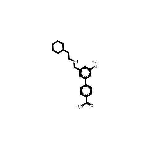 Cl.NC(=O)c1ccc(-c2cc(Cl)cc(CNCCC3CCCCC3)c2)cc1